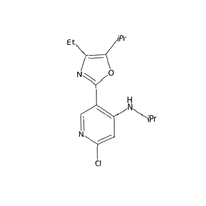 CCc1nc(-c2cnc(Cl)cc2NC(C)C)oc1C(C)C